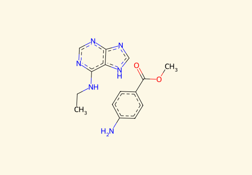 CCNc1ncnc2nc[nH]c12.COC(=O)c1ccc(N)cc1